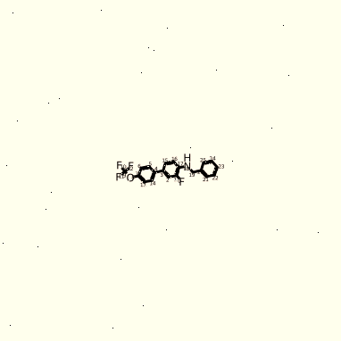 Fc1cc(-c2ccc(OC(F)(F)F)cc2)ccc1NCc1ccccc1